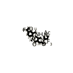 CC(=O)N1CC[C@](n2cc3c(N[C@H](C)c4cccc5c(F)coc45)nn(C)c(=O)c3cc2=O)(C(F)(F)F)C1